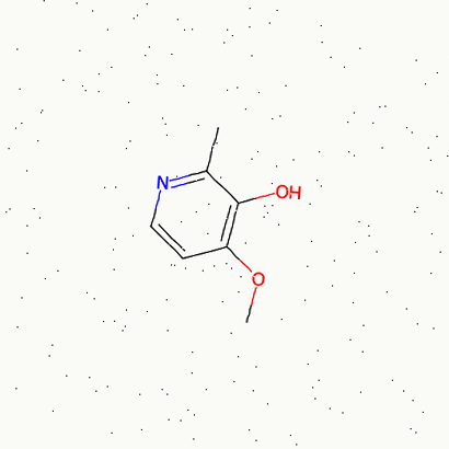 COc1ccnc(C)c1O